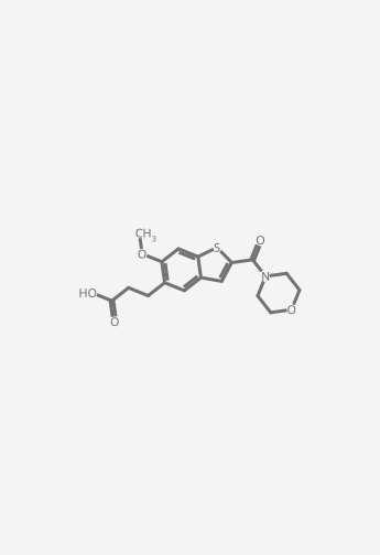 COc1cc2sc(C(=O)N3CCOCC3)cc2cc1CCC(=O)O